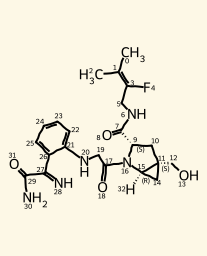 CC(C)=C(F)CNC(=O)[C@@H]1C[C@@]2(CO)C[C@H]2N1C(=O)CNc1ccccc1C(=N)C(N)=O